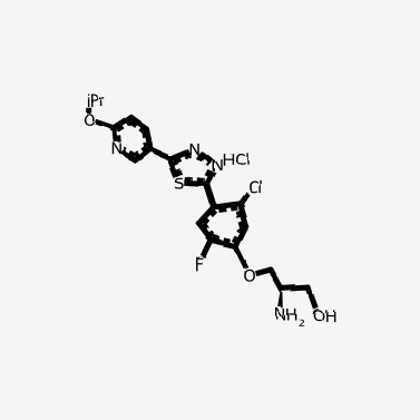 CC(C)Oc1ccc(-c2nnc(-c3cc(F)c(OC[C@H](N)CO)cc3Cl)s2)cn1.Cl